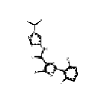 Nc1sc(-c2c(F)cccc2F)nc1C(=O)Nc1cnn(C(F)F)c1